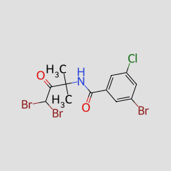 CC(C)(NC(=O)c1cc(Cl)cc(Br)c1)C(=O)C(Br)Br